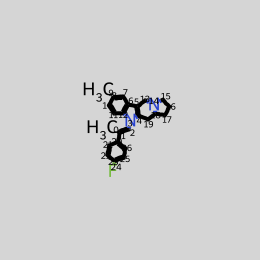 CC(=Cn1c2c(c3cc(C)ccc31)CN1CCCC1C2)c1ccc(F)cc1